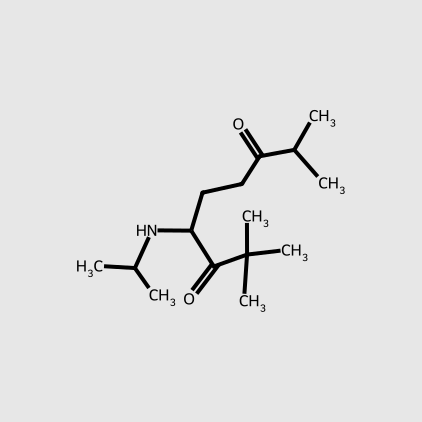 CC(C)NC(CCC(=O)C(C)C)C(=O)C(C)(C)C